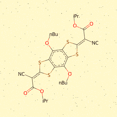 [C-]#[N+]C(C(=O)OC(C)C)=C1Sc2c(OCCCC)c3c(c(OCCCC)c2S1)SC(=C(C#N)C(=O)OC(C)C)S3